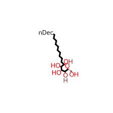 CCCCCCCCCCCCCCCCCCCC[C@@]1(O)O[C@H](CO)[C@@H](O)[C@H](O)[C@H]1O